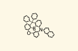 c1ccc(C2(c3ccccc3)c3cccc4c3B3c5c(cccc5N(c5ccc6ccccc6c5)c5cccc2c53)O4)cc1